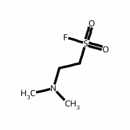 CN(C)CCS(=O)(=O)F